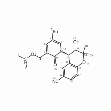 C[SiH](C)OCc1cc(C(C)(C)C)cn([C@@H]2c3cc(C#N)ccc3OC(C)(C)[C@H]2O)c1=O